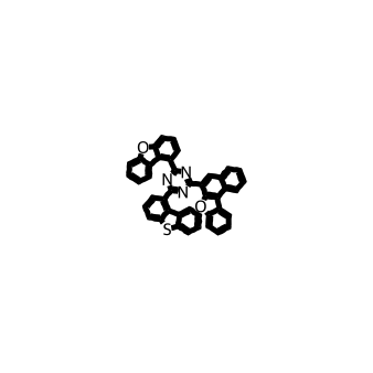 c1ccc2c(c1)cc(-c1nc(-c3cccc4oc5ccccc5c34)nc(-c3cccc4sc5ccccc5c34)n1)c1oc3ccccc3c12